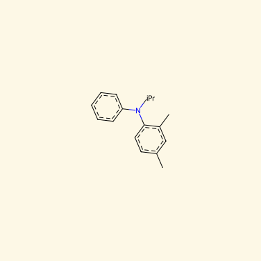 Cc1ccc(N(c2ccccc2)C(C)C)c(C)c1